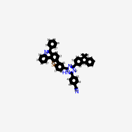 CC1(C)c2ccccc2-c2cc(C3=NC(c4ccc5sc6c(ccc7c(-c8ccccc8)nc8ccccc8c76)c5c4)NC(c4ccc(C#N)cc4)=N3)ccc21